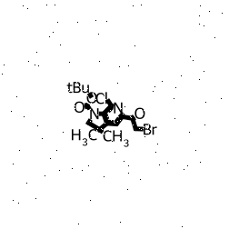 CC(C)(C)OC(=O)N1CC(C)(C)c2cc(C(=O)CBr)nc(Cl)c21